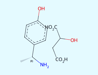 C[C@@H](N)c1ccc(O)cc1.O=C(O)CC(O)C(=O)O